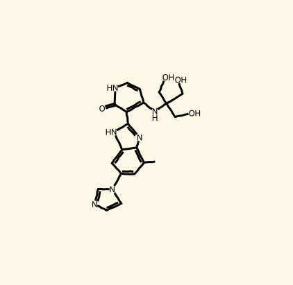 Cc1cc(-n2ccnc2)cc2[nH]c(-c3c(NC(CO)(CO)CO)cc[nH]c3=O)nc12